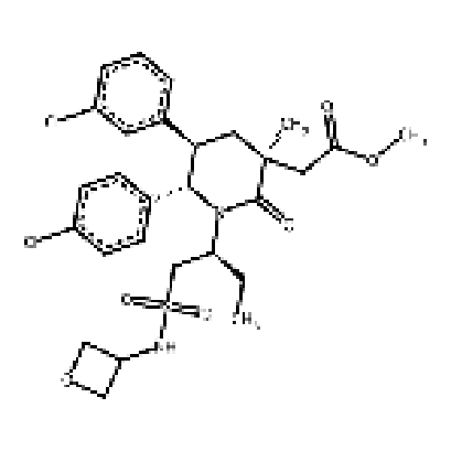 CC[C@@H](CS(=O)(=O)NC1COC1)N1C(=O)[C@](C)(CC(=O)OC)C[C@H](c2cccc(Cl)c2)[C@H]1c1ccc(Cl)cc1